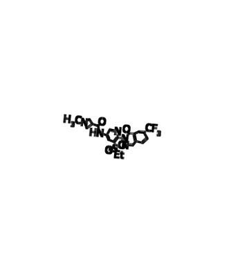 CCS(=O)(=O)c1cc(NC(=O)C2CN(C)C2)cnc1-n1ncc2ccc(C(F)(F)F)cc2c1=O